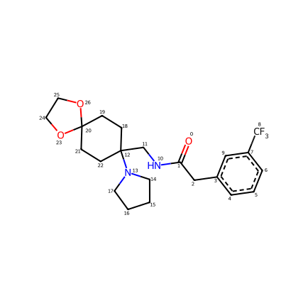 O=C(Cc1cccc(C(F)(F)F)c1)NCC1(N2CCCC2)CCC2(CC1)OCCO2